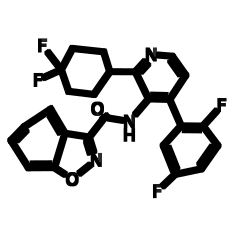 O=C(Nc1c(-c2cc(F)ccc2F)ccnc1C1CCC(F)(F)CC1)c1noc2ccccc12